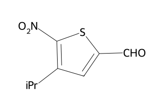 CC(C)c1cc(C=O)sc1[N+](=O)[O-]